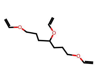 C=COCCCC(CCCOC=C)OC=C